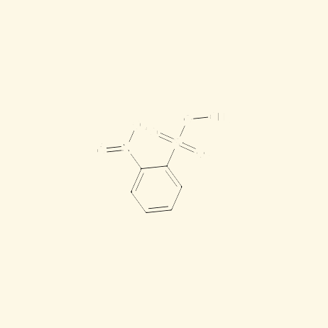 COS(=O)(=O)c1ccccc1[N+](=O)[O-]